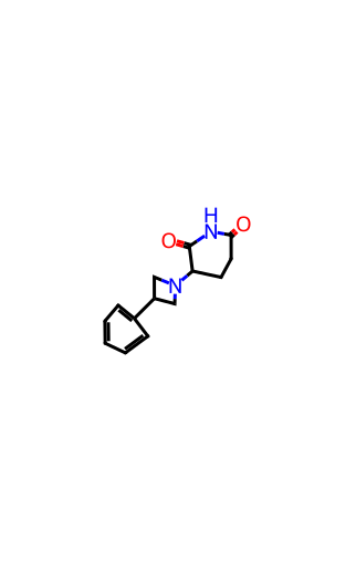 O=C1CCC(N2CC(c3ccccc3)C2)C(=O)N1